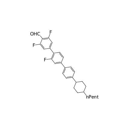 CCCCCC1CCC(c2ccc(-c3ccc(-c4cc(F)c(C=O)c(F)c4)c(F)c3)cc2)CC1